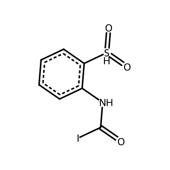 O=C(I)Nc1ccccc1[SH](=O)=O